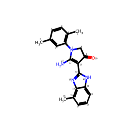 Cc1ccc(C)c(N2CC(=O)C(c3nc4c(C)cccc4[nH]3)=C2N)c1